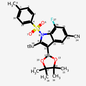 Cc1ccc(S(=O)(=O)n2c(C(C)(C)C)c(B3OC(C)(C)C(C)(C)O3)c3cc(C#N)cc(F)c32)cc1